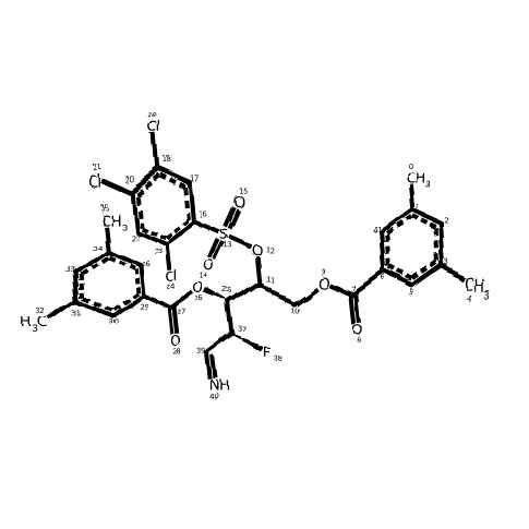 Cc1cc(C)cc(C(=O)OCC(OS(=O)(=O)c2cc(Cl)c(Cl)cc2Cl)[C@H](OC(=O)c2cc(C)cc(C)c2)[C@@H](F)C=N)c1